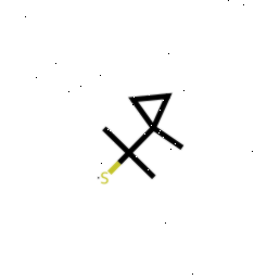 CC(C)([S])C1(C)CC1